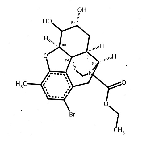 CCOC(=O)N1CC[C@]23c4c5c(Br)cc(C)c4O[C@H]2C(O)[C@H](O)C[C@H]3[C@H]1C5